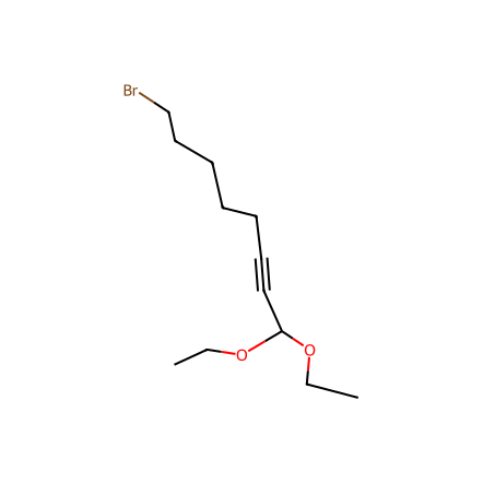 CCOC(C#CCCCCCBr)OCC